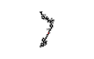 CN1C(=O)CCC(n2c(=O)n(C)c3c(CCCOCCOCCNCc4ccc(-n5cc(NC(=O)c6coc(-c7ccnc(NCC8CC8)c7)n6)c(C(F)F)n5)cc4)cccc32)C1=O